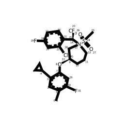 [CH]c1cc(C2CC2)c(O[C@@H]2CCC[N+]([C@@H](c3ccc(F)cc3Cl)C(F)(F)F)(S(C)(=O)=O)C2)cc1F